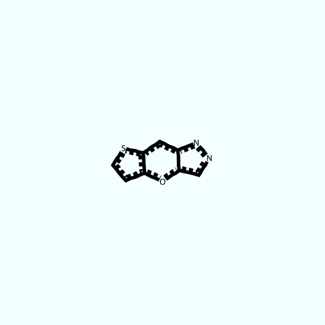 c1cc2oc3cnnc-3cc2s1